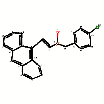 [O-][S+](/C=C/c1c2ccccc2cc2ccccc12)Cc1ccc(Br)cc1